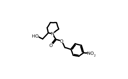 O=C(OCc1ccc([N+](=O)[O-])cc1)N1CCCCC1CO